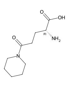 N[C@H](CCC(=O)N1CCCCC1)C(=O)O